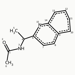 CC(=O)NC(C)c1ccc2ccccc2n1